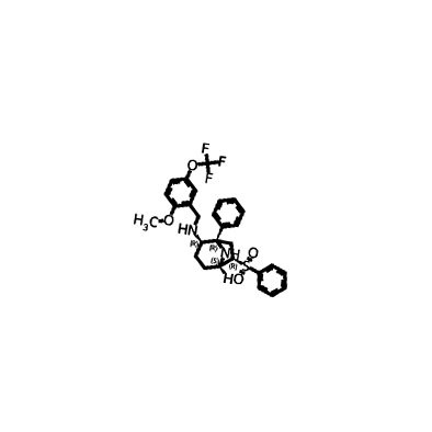 COc1ccc(OC(F)(F)F)cc1CN[C@@H]1CC[C@@H]2N[C@@]1(c1ccccc1)C[C@H]2S(=O)(=O)c1ccccc1